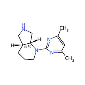 Cc1cc(C)nc(N2CCC[C@@H]3CNC[C@@H]32)n1